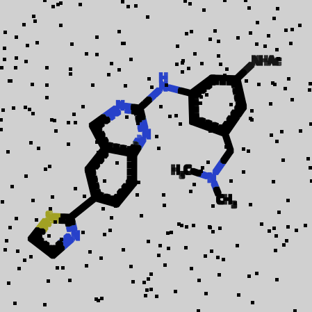 CC(=O)Nc1cc(CN(C)C)cc(Nc2ncc3cc(-c4nccs4)ccc3n2)c1